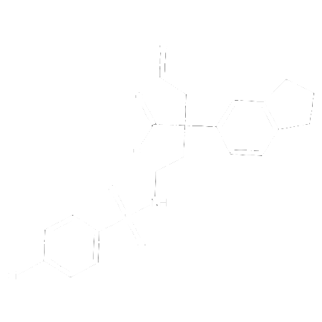 O=CCC(CCNS(=O)(=O)c1ccc(Cl)cc1)(C(=O)O)c1ccc2c(c1)CCC2